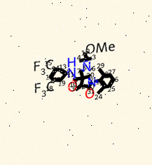 COCC(C)(C)N(C)CC1(C(=O)Nc2cc(C(F)(F)F)cc(C(F)(F)F)c2)CN(c2c(C)cccc2C)C(=O)C1C